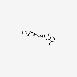 O=C(O)CSCCNCCCc1c(F)cccc1F